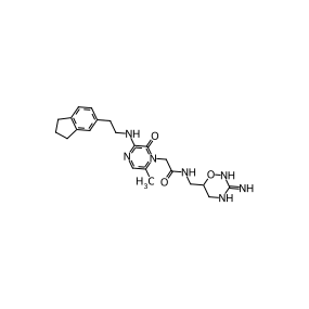 Cc1cnc(NCCc2ccc3c(c2)CCC3)c(=O)n1CC(=O)NCC1CNC(=N)NO1